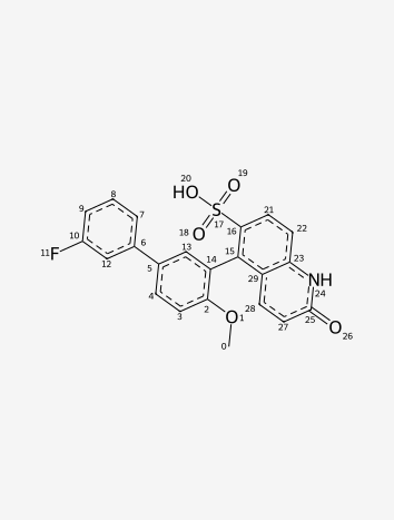 COc1ccc(-c2cccc(F)c2)cc1-c1c(S(=O)(=O)O)ccc2[nH]c(=O)ccc12